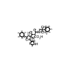 C[C@H](N[C@@](Cc1c[nH]cn1)(NC(=O)O)C(=O)CC(=O)NCC(C)(C)c1ccccc1)c1ccccc1